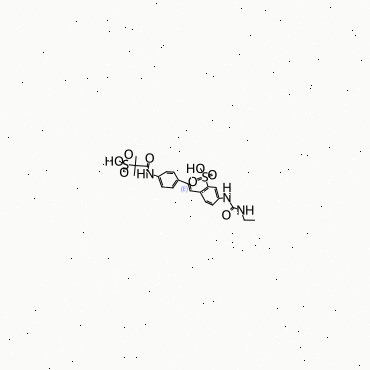 CCNC(=O)Nc1ccc(/C=C/c2ccc(NC(=O)C(C)(C)S(=O)(=O)O)cc2)c(S(=O)(=O)O)c1